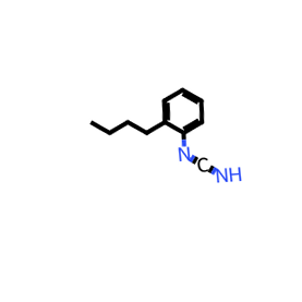 CCCCc1ccccc1N=C=N